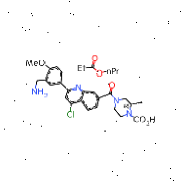 CCCOC(=O)CC.COc1ccc(-c2cc(Cl)c3ccc(C(=O)N4CCN(C(=O)O)[C@H](C)C4)cc3n2)cc1CN